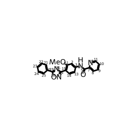 COc1cc(NC(=O)c2ccccn2)ccc1-c1noc(-c2ccccc2)n1